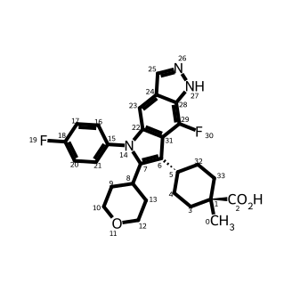 C[C@]1(C(=O)O)CC[C@H](c2c(C3CCOCC3)n(-c3ccc(F)cc3)c3cc4cn[nH]c4c(F)c32)CC1